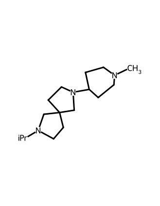 CC(C)N1CCC2(CCN(C3CCN(C)CC3)C2)C1